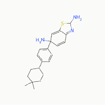 CC1(C)CCC(c2ccc(C3(N)C=CC4=NC(N)SC4=C3)cc2)CC1